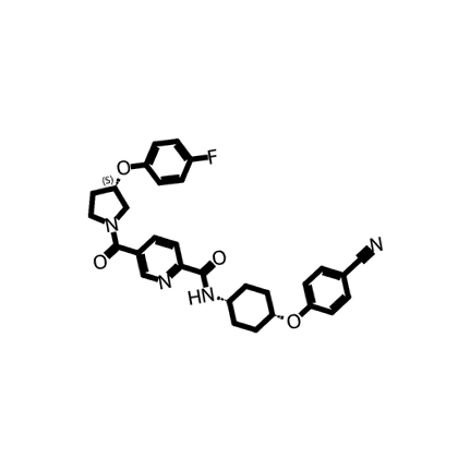 N#Cc1ccc(O[C@H]2CC[C@@H](NC(=O)c3ccc(C(=O)N4CC[C@H](Oc5ccc(F)cc5)C4)cn3)CC2)cc1